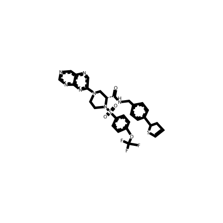 O=C(NCc1ccc(C2CC=CS2)cc1)[C@H]1CN(c2cnc3cncnc3n2)CCN1S(=O)(=O)c1ccc(OC(F)(F)F)cc1